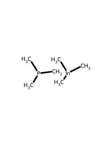 CP(C)C.[CH3][In]([CH3])[CH3]